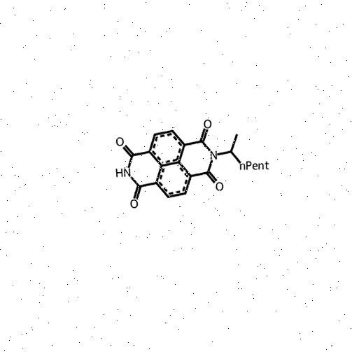 CCCCCC(C)N1C(=O)c2ccc3c4c(ccc(c24)C1=O)C(=O)NC3=O